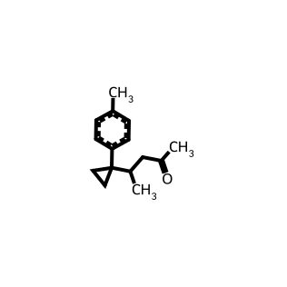 CC(=O)CC(C)C1(c2ccc(C)cc2)CC1